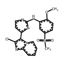 COc1ccc(S(C)(=O)=O)cc1Nc1nccc(-c2c(Cl)nc3ccccn23)n1